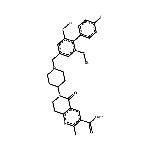 CCOc1cc(CN2CCC(N3CCc4nc(C)c(C(=O)OC)cc4C3=O)CC2)cc(OCC)c1-c1ccc(F)cc1